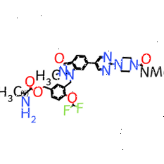 CNC(=O)N1CCN(c2ncc(-c3ccc4c(=O)n(C)n(Cc5cc(COC(=O)[C@H](C)N)ccc5OC(F)F)c4c3)cn2)CC1